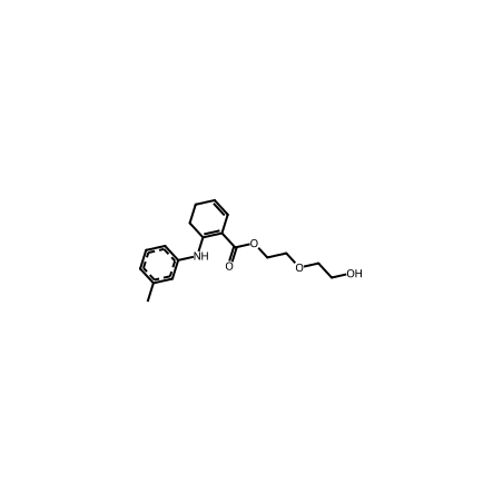 Cc1cccc(NC2=C(C(=O)OCCOCCO)C=CCC2)c1